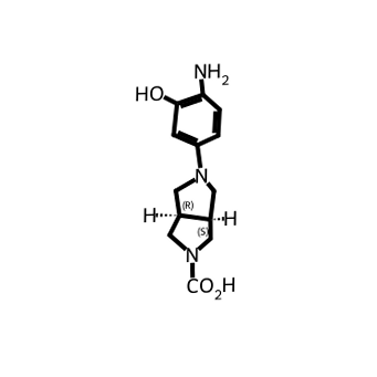 Nc1ccc(N2C[C@H]3CN(C(=O)O)C[C@H]3C2)cc1O